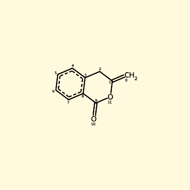 C=C1Cc2ccccc2C(=O)O1